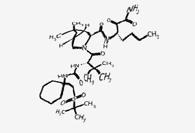 CCCC[C@H](NC(=O)[C@@H]1[C@@H]2[C@H](CN1C(=O)[C@@H](NC(=O)NC1(CS(=O)(=O)C(C)(C)C)CCCCC1)C(C)(C)C)C2(C)C)C(=O)C(N)=O